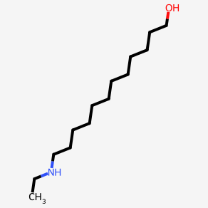 CCNCCCCCCCCCCCCO